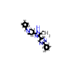 Cc1[nH]c(C2CCN(Cc3ccccc3)CC2)nc1-c1cnc(-c2ccccc2)nc1